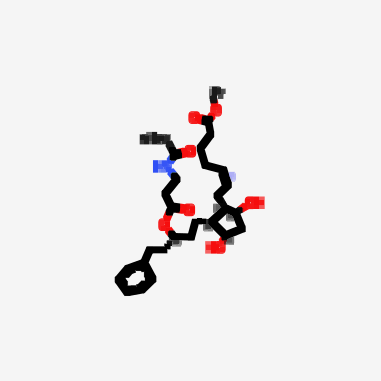 CCCCCCC(=O)NCCC(=O)O[C@@H](CCc1ccccc1)CC[C@@H]1[C@@H](C/C=C\CCCC(=O)OC(C)C)[C@@H](O)C[C@H]1O